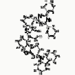 c1ccc(-c2nc(-c3ccccc3)nc(-c3cccc4sc5c(-c6cccc7oc8cc(-n9c%10ccccc%10c%10ccccc%109)ccc8c67)cccc5c34)n2)cc1